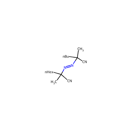 CCCCCCC(C)(C#N)N=NC(C)(C#N)CCCC